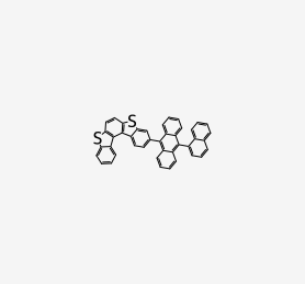 c1ccc2c(-c3c4ccccc4c(-c4ccc5c(c4)sc4ccc6sc7ccccc7c6c45)c4ccccc34)cccc2c1